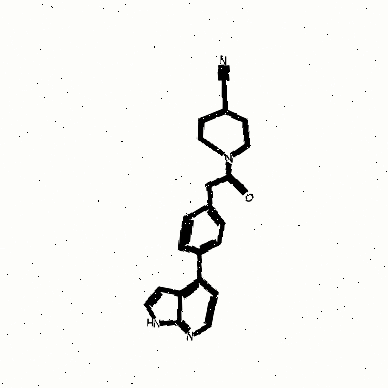 N#CC1CCN(C(=O)Cc2ccc(-c3ccnc4[nH]ccc34)cc2)CC1